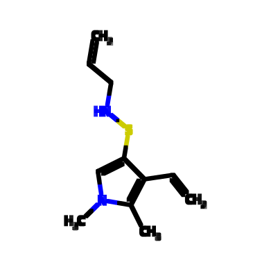 C=CCNSc1cn(C)c(C)c1C=C